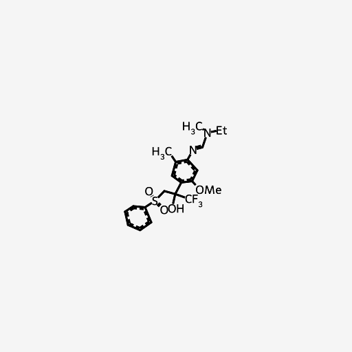 CCN(C)C=Nc1cc(OC)c(C(O)(CS(=O)(=O)c2ccccc2)C(F)(F)F)cc1C